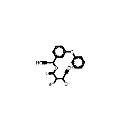 C#CC(OC(=O)C(C(C)C)C(C)C#C)c1cccc(Oc2ccccc2)c1